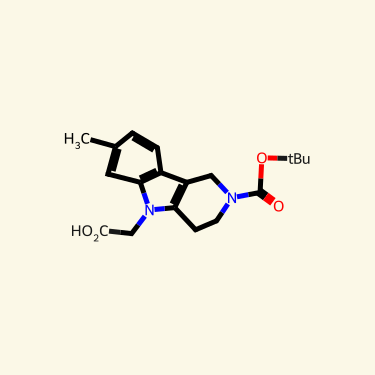 Cc1ccc2c3c(n(CC(=O)O)c2c1)CCN(C(=O)OC(C)(C)C)C3